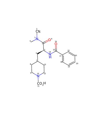 CN(C#N)C(=O)[C@H](CC1CCN(C(=O)O)CC1)NC(=O)c1ccccc1